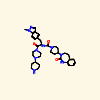 Cn1ncc2cc(CC(NC(=O)N3CCC(N4CCc5ccccc5NC4=O)CC3)C(=O)N3CCN(C4CCNCC4)CC3)ccc21